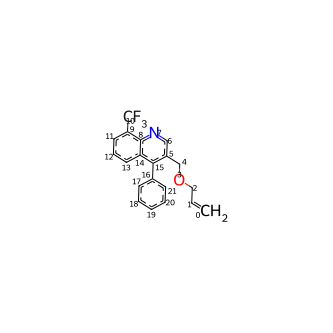 C=CCOCc1cnc2c(C(F)(F)F)cccc2c1-c1ccccc1